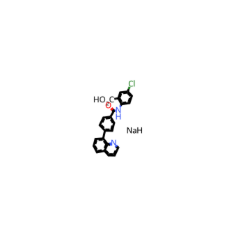 O=C(Nc1ccc(Cl)cc1C(=O)O)c1ccc(-c2cccc3cccnc23)cc1.[NaH]